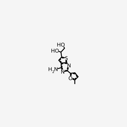 Cc1ccc(-c2nc(N)c3cc(C(O)CO)sc3n2)o1